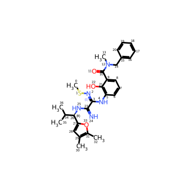 CS/N=C(/Nc1cccc(C(=O)N(C)Cc2ccccc2)c1O)C(=N)N[C@@H](c1cc(C)c(C)o1)C(C)C